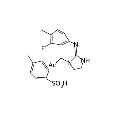 CC(=O)CN1CCNC1=Nc1ccc(C)c(F)c1.Cc1ccc(S(=O)(=O)O)cc1